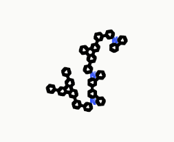 c1ccc(-c2ccc3c4ccc(-c5cccc(-c6cccc(-n7c8ccccc8c8cc(-c9ccc%10c(c9)c9ccccc9n%10-c9cccc(-c%10ccc%11c%12ccc(-c%13cccc(-c%14cccc(-n%15c%16ccccc%16c%16ccccc%16%15)c%14)c%13)cc%12c%12ccccc%12c%11c%10)c9)ccc87)c6)c5)cc4c4ccc(-c5ccccc5)cc4c3c2)cc1